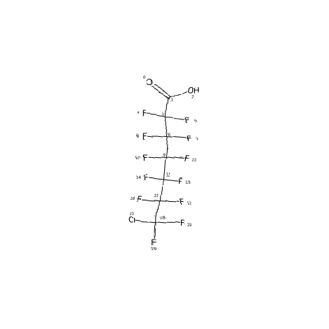 O=C(O)C(F)(F)C(F)(F)C(F)(F)C(F)(F)C(F)(F)C(F)(F)Cl